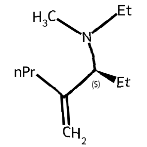 C=C(CCC)[C@H](CC)N(C)CC